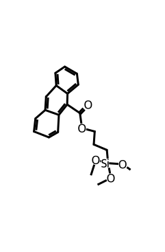 CO[Si](CCCOC(=O)c1c2ccccc2cc2ccccc12)(OC)OC